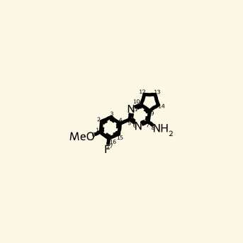 COc1ccc(-c2nc(N)c3c(n2)CCC3)cc1F